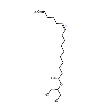 C=CCCC/C=C\CCCCCCCCC(=O)OC(CO)CO